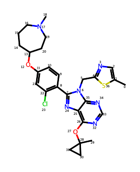 Cc1cnc(Cn2c(-c3ccc(OC4CCCN(C)CC4)cc3Cl)nc3c(OC4(C)CC4)ncnc32)s1